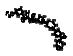 O=C(CNC(=O)c1cccc(C(F)(F)F)c1)N[C@@H]1CCN([C@@H]2CCCN(c3ccc(C(=O)N4CCOCC4)cc3)CC2)C1